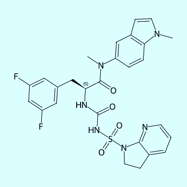 CN(C(=O)[C@H](Cc1cc(F)cc(F)c1)NC(=O)NS(=O)(=O)N1CCc2cccnc21)c1ccc2c(ccn2C)c1